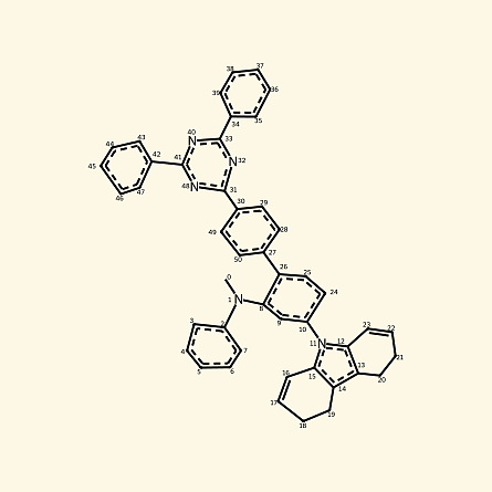 CN(c1ccccc1)c1cc(-n2c3c(c4c2C=CCC4)CCC=C3)ccc1-c1ccc(-c2nc(-c3ccccc3)nc(-c3ccccc3)n2)cc1